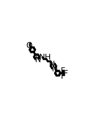 COc1ccc(-c2ccnc(NCCCCN3CCN(c4cccc(C(F)(F)F)c4)CC3)c2)cc1